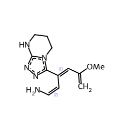 C=C(/C=C(\C=C/N)c1nnc2n1CCCN2)OC